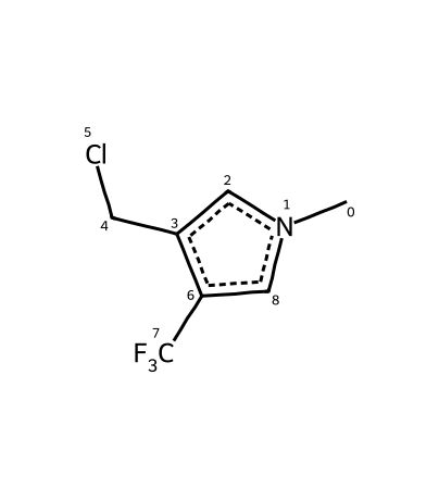 Cn1cc(CCl)c(C(F)(F)F)c1